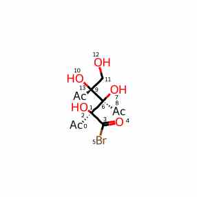 CC(=O)[C@@](O)(C(=O)Br)[C@@](O)(C(C)=O)[C@](O)(CO)C(C)=O